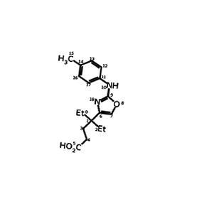 CCC(CC)(CCC(=O)O)c1coc(Nc2ccc(C)cc2)n1